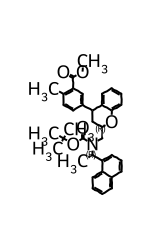 COC(=O)c1cc(C2C[C@H](CN(C(=O)OC(C)(C)C)[C@H](C)c3cccc4ccccc34)Oc3ccccc32)ccc1C